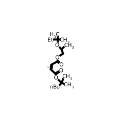 CCCCC(C)(C)OC(=O)/C=C\C(=O)OCC(C)OC(C)(C)CC